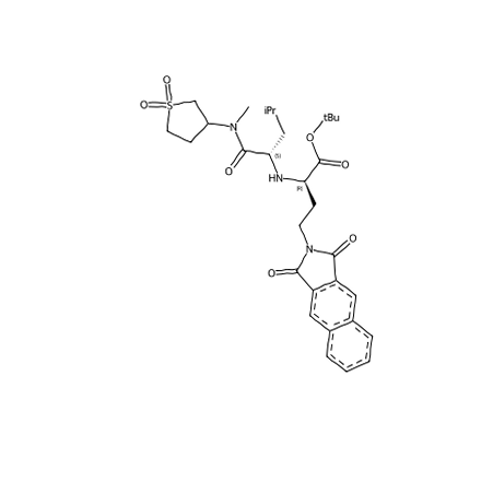 CC(C)C[C@H](N[C@H](CCN1C(=O)c2cc3ccccc3cc2C1=O)C(=O)OC(C)(C)C)C(=O)N(C)C1CCS(=O)(=O)C1